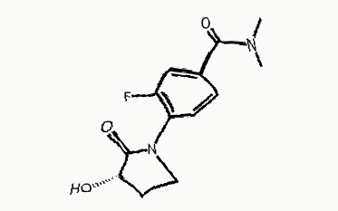 CN(C)C(=O)c1ccc(N2CC[C@H](O)C2=O)c(F)c1